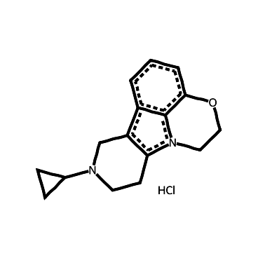 Cl.c1cc2c3c(c1)c1c(n3CCO2)CCN(C2CC2)C1